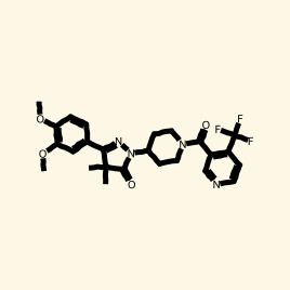 COc1ccc(C2=NN(C3CCN(C(=O)c4cnccc4C(F)(F)F)CC3)C(=O)C2(C)C)cc1OC